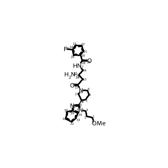 COCCCn1c([C@@H]2CCCN(C(=O)C[C@H](N)CNC(=O)c3cccc(F)c3)C2)nc2ccccc21